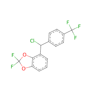 FC1(F)Oc2cccc(C(Cl)c3ccc(C(F)(F)F)cc3)c2O1